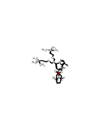 CC(C)(C)OC(=O)N1[C@@H]2CC[C@H]1C[C@H](c1cc(N(COCC[Si](C)(C)C)COCC[Si](C)(C)C)n3ncc(I)c3n1)C2